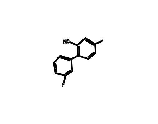 Cc1ccc(-c2cccc(F)c2)c(C#N)c1